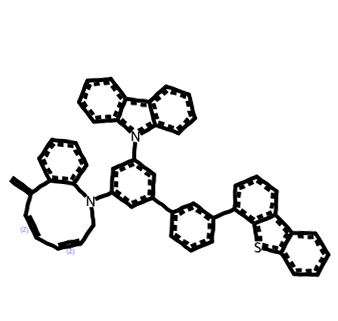 C=C1/C=C\C=C/CN(c2cc(-c3cccc(-c4cccc5c4sc4ccccc45)c3)cc(-n3c4ccccc4c4ccccc43)c2)c2ccccc21